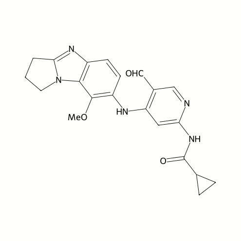 COc1c(Nc2cc(NC(=O)C3CC3)ncc2C=O)ccc2nc3n(c12)CCC3